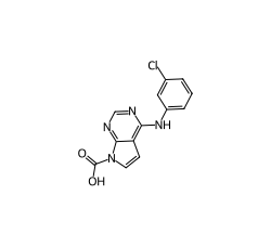 O=C(O)n1ccc2c(Nc3cccc(Cl)c3)ncnc21